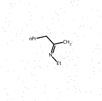 [CH2]C(CCCC)=NCC